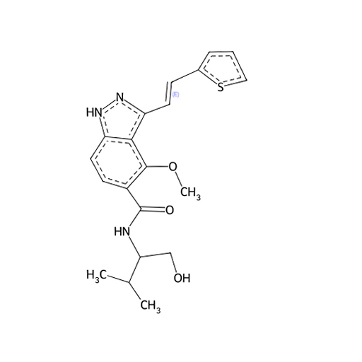 COc1c(C(=O)NC(CO)C(C)C)ccc2[nH]nc(/C=C/c3cccs3)c12